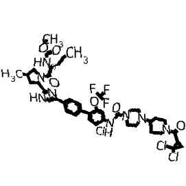 CCC[C@H](NC(=O)OC)C(=O)N1CC(C)CC1c1nc(-c2ccc(-c3cc(Cl)c(NC(=O)N4CCN(C5CCN(C(=O)C6CC6(Cl)Cl)CC5)CC4)cc3OC(F)(F)F)cc2)c[nH]1